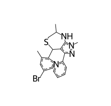 Cc1cc(Br)ccc1C1SCC(C)Nc2c1c(-c1ccccn1)nn2C